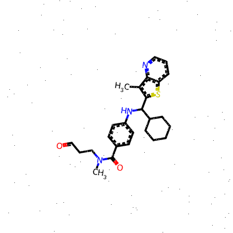 Cc1c(C(Nc2ccc(C(=O)N(C)CCC=O)cc2)C2CCCCC2)sc2cccnc12